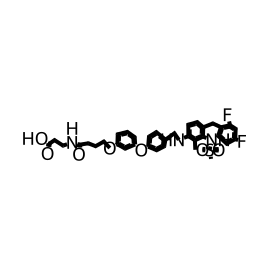 Cc1c(NCc2ccc(Oc3cccc(OCCCC(=O)NCCC(=O)O)c3)cc2)ccc(Cc2ccc(F)cc2F)c1NS(C)(=O)=O